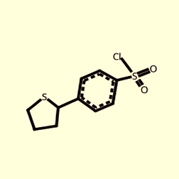 O=S(=O)(Cl)c1ccc(C2CCCS2)cc1